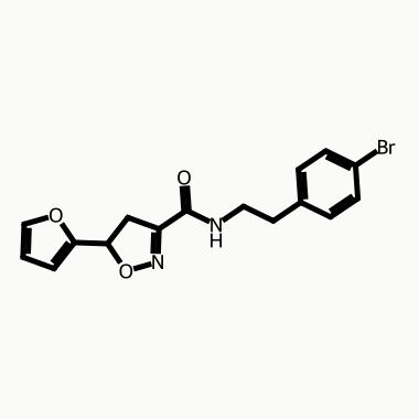 O=C(NCCc1ccc(Br)cc1)C1=NOC(c2ccco2)C1